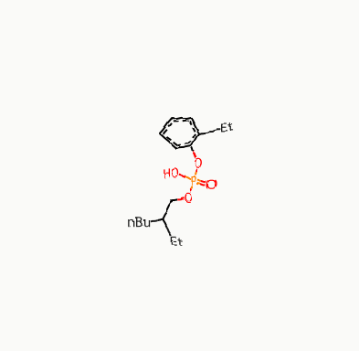 CCCCC(CC)COP(=O)(O)Oc1ccccc1CC